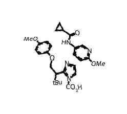 COc1ccc(NC(=O)C2CC2)cn1.COc1ccc(OCC(c2nccn2C(=O)O)C(C)(C)C)cc1